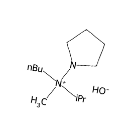 CCCC[N+](C)(C(C)C)N1CCCC1.[OH-]